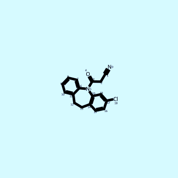 N#CCC(=O)N1c2ccccc2CCc2ccc(Cl)cc21